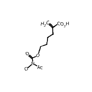 C=C(CCCCOC(=O)N(Cl)C(C)=O)C(=O)O